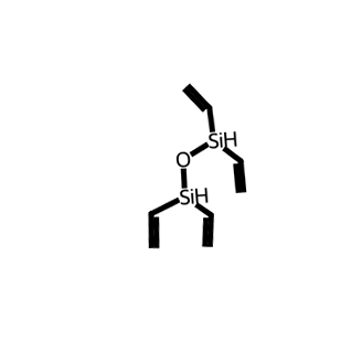 C=C[SiH](C=C)O[SiH](C=C)C=C